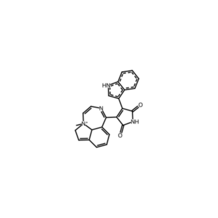 C[N+]12C=CN=C(C3=C(c4c[nH]c5ccccc45)C(=O)NC3=O)C3=CC=CC(=CC1)C32